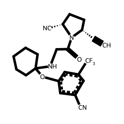 C#C[C@H]1CC[C@@H](C#N)N1C(=O)CNC1(Oc2cc(C#N)cc(C(F)(F)F)c2)CCCCC1